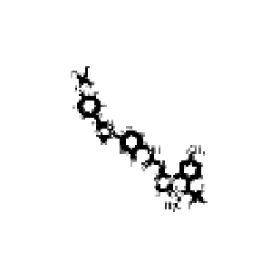 COC(c1ccc(C)cc1N1C(=O)CS/C1=N\C(=O)Nc1ccc(-n2cnc(-c3ccc(OC(F)(F)F)cc3)n2)cc1F)C(F)(F)F